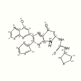 O=C(Nc1cc(=O)c2nc(-c3cc(Cl)c4ncccc4c3)c(-c3ccccc3)nc2[nH]1)NC1CCCC1